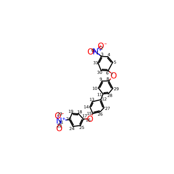 O=[N+]([O-])c1ccc(Oc2ccc(-c3ccc(Oc4ccc([N+](=O)[O-])cc4)cc3)cc2)cc1